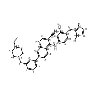 CCN1CCN(Cc2cccc(-c3ccc4c(Nc5ccc(Sc6nccn6C)c(Cl)c5)c(C#N)cnc4c3)c2)CC1